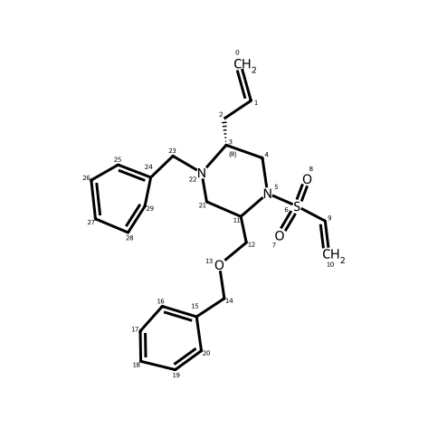 C=CC[C@@H]1CN(S(=O)(=O)C=C)C(COCc2ccccc2)CN1Cc1ccccc1